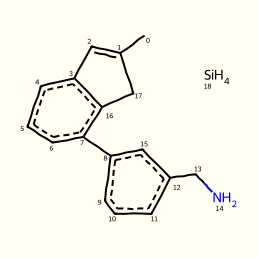 CC1=Cc2cccc(-c3cccc(CN)c3)c2C1.[SiH4]